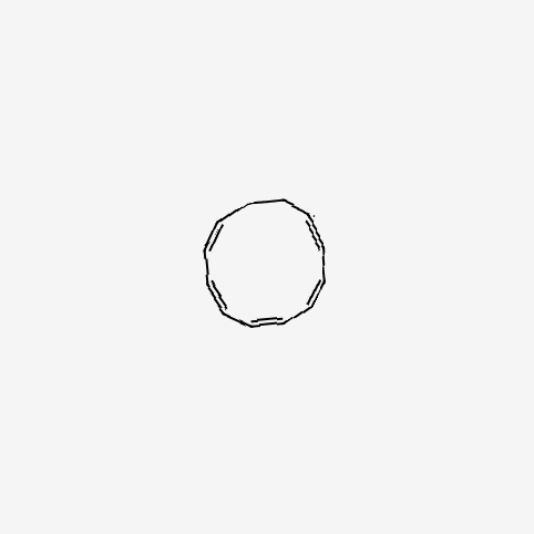 [C]1=CC=CC=CC=CC=CCC1